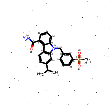 CC(C)c1c[c]c2c3c(C(N)=O)cccc3n(Cc3cccc(S(C)(=O)=O)c3)c2c1